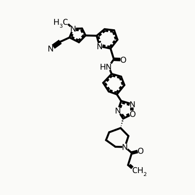 C=CC(=O)N1CCC[C@H](c2nc(-c3ccc(NC(=O)c4cccc(-c5cc(C#N)n(C)c5)n4)cc3)no2)C1